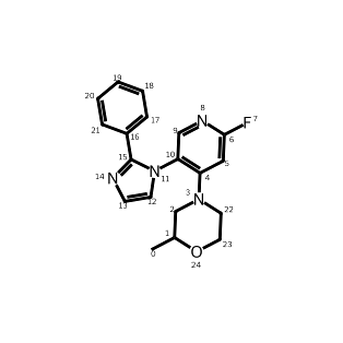 CC1CN(c2cc(F)ncc2-n2ccnc2-c2ccccc2)CCO1